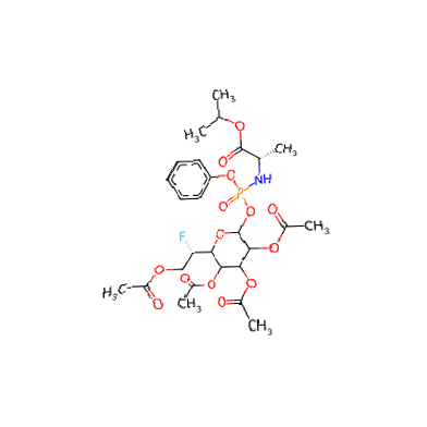 CC(=O)OC[C@H](F)C1OC(OP(=O)(N[C@@H](C)C(=O)OC(C)C)Oc2ccccc2)C(OC(C)=O)C(OC(C)=O)C1OC(C)=O